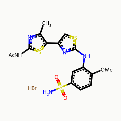 Br.COc1ccc(S(N)(=O)=O)cc1Nc1nc(-c2sc(NC(C)=O)nc2C)cs1